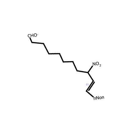 CCCCCCCCC/C=C/C(CCCCCCC[C]=O)[N+](=O)[O-]